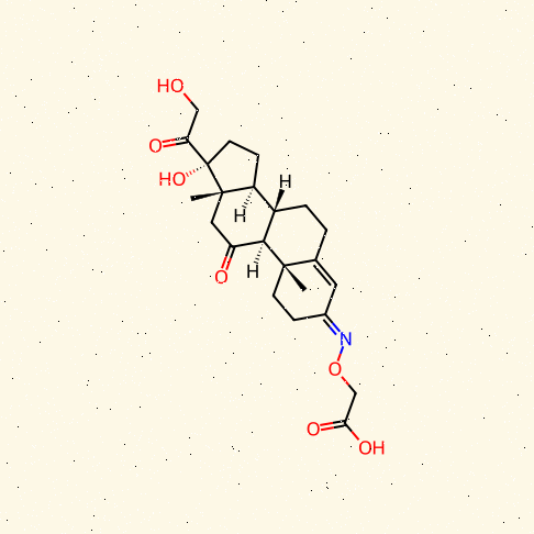 C[C@]12CCC(=NOCC(=O)O)C=C1CC[C@@H]1[C@@H]2C(=O)C[C@@]2(C)[C@H]1CC[C@]2(O)C(=O)CO